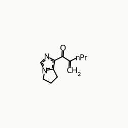 C=C(CCC)C(=O)c1ncn2c1CCC2